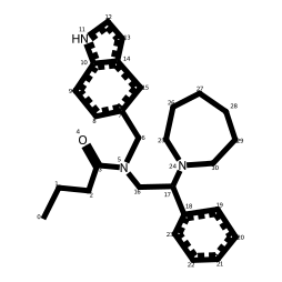 CCCC(=O)N(Cc1ccc2[nH]ccc2c1)CC(c1ccccc1)N1CCCCCC1